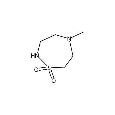 CN1CCNS(=O)(=O)CC1